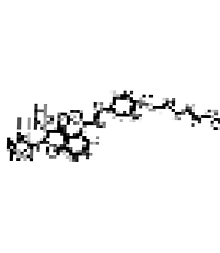 Nc1c(-c2nnn[nH]2)oc2cccc(C(=O)C=Cc3ccc(OCCCCCCCl)cc3)c2c1=O